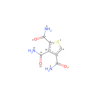 NC(=O)c1csc(C(N)=O)c1C(N)=O